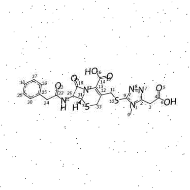 Cn1c(CC(=O)O)nnc1SCC1=C(C(=O)O)N2C(=O)C(NC(=O)Cc3ccccc3)[C@H]2SC1